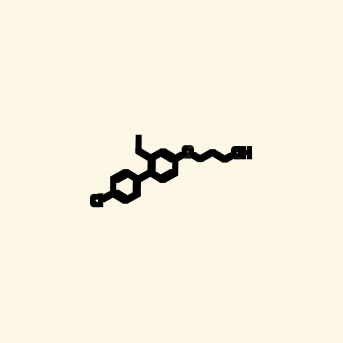 CCc1cc(OCCCO)ccc1-c1ccc(Cl)cc1